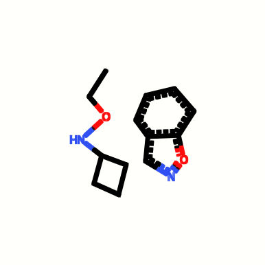 CCONC1CCC1.c1ccc2oncc2c1